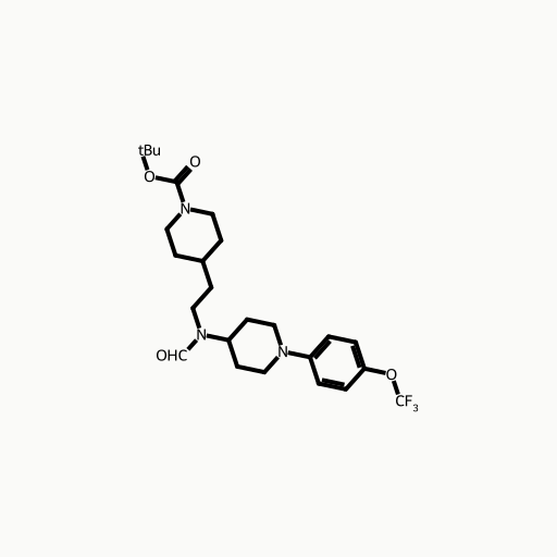 CC(C)(C)OC(=O)N1CCC(CCN(C=O)C2CCN(c3ccc(OC(F)(F)F)cc3)CC2)CC1